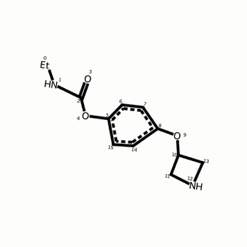 CCNC(=O)Oc1ccc(OC2CNC2)cc1